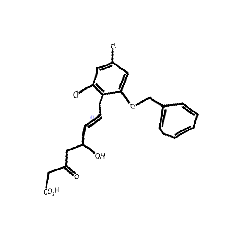 O=C(O)CC(=O)CC(O)/C=C/c1c(Cl)cc(Cl)cc1OCc1ccccc1